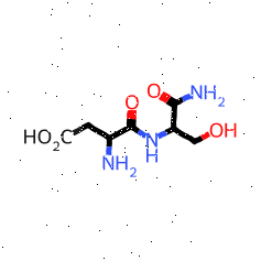 NC(=O)C(CO)NC(=O)C(N)CC(=O)O